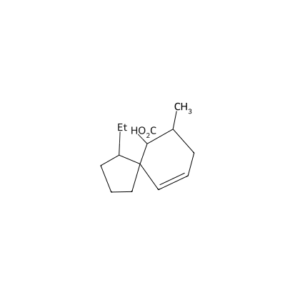 CCC1CCCC12C=CCC(C)C2C(=O)O